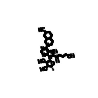 C[C@H]1O[C@@H](N2c3ncnc(N4CCC5CCC(C#N)CC5C4)c3NC2NCCCO)[C@H](O)[C@@H]1O